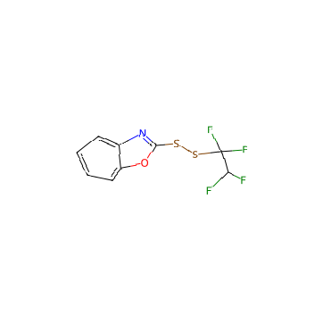 FC(F)C(F)(F)SSc1nc2ccccc2o1